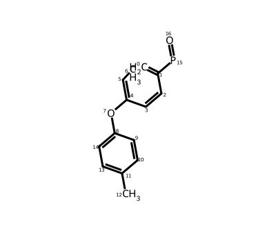 C=C(/C=C\C(=C/C)Oc1ccc(C)cc1)P=O